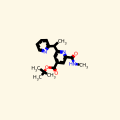 CNC(=O)c1cc(C(=O)OC(C)(C)C)cc(C(C)c2ccccn2)n1